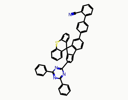 N#Cc1ccccc1-c1ccc(-c2ccc3c(c2)C2(c4ccccc4Sc4ccccc42)c2cc(-c4nc(-c5ccccc5)nc(-c5ccccc5)n4)ccc2-3)cc1